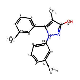 Cc1cccc(-c2c(C)c(O)nn2-c2cccc(C)c2)c1